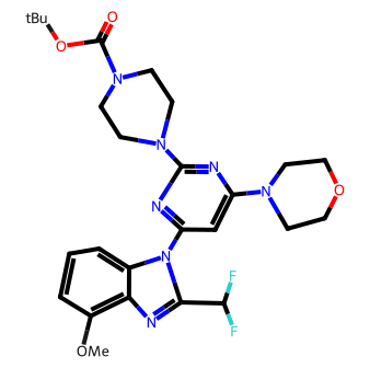 COc1cccc2c1nc(C(F)F)n2-c1cc(N2CCOCC2)nc(N2CCN(C(=O)OC(C)(C)C)CC2)n1